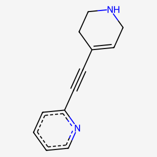 C(#Cc1ccccn1)C1=CCNCC1